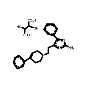 Nc1nc(-c2ccccc2)c(CCN2CC=C(c3ccccc3)CC2)s1.O=C(O)C(O)C(O)C(=O)O